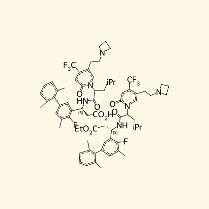 CCOC(=O)C[C@H](NC(=O)C(CC(C)C)n1cc(CCN2CCC2)c(C(F)(F)F)cc1=O)c1cc(-c2c(C)cccc2C)cc(C)c1F.Cc1cc(-c2c(C)cccc2C)cc([C@H](CC(=O)O)NC(=O)C(CC(C)C)n2cc(CCN3CCC3)c(C(F)(F)F)cc2=O)c1F